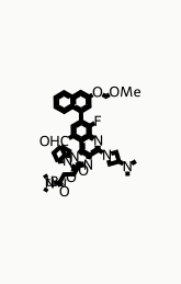 COCOc1cc(-c2cc(C=O)c3c(nc(N4CC(N(C)C)C4)c4nc(CCC(=O)N(C)C)n(C5C6CC5N(C(=O)OC(C)(C)C)C6)c43)c2F)c2ccccc2c1